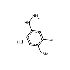 CSc1ccc(NN)cc1F.Cl